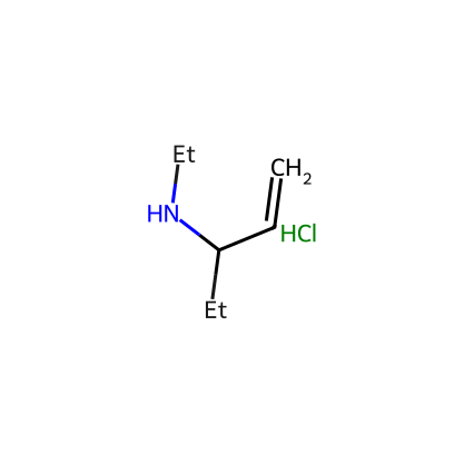 C=CC(CC)NCC.Cl